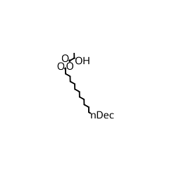 CCCCCCCCCCCCCCCCCCCCCC(=O)OC(=O)C(C)O